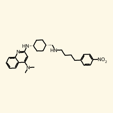 CN(C)c1cc(N[C@H]2CC[C@@H](CNCCCCc3ccc([N+](=O)[O-])cc3)CC2)nc2ccccc12